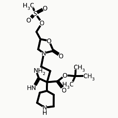 CC(C)(C)OC(=O)C(CCN1CC(COS(C)(=O)=O)OC1=O)(C(=N)N)C1CCNCC1